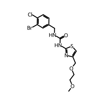 COCCOCc1csc(NC(=O)NCc2ccc(Cl)c(Br)c2)n1